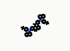 Cc1c2c3c(cccc3c3cc(N(c4ccc(C(C)(C)C)cc4)c4cccc5ccccc45)ccc13)C(C)(C)c1cc(N(c3ccc(C(C)(C)C)cc3)c3cccc4ccccc34)ccc1-2